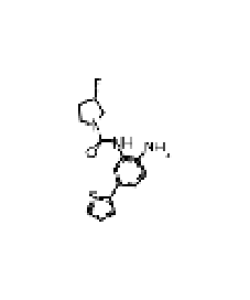 Nc1ccc(-c2cccs2)cc1NC(=O)N1CCC(F)C1